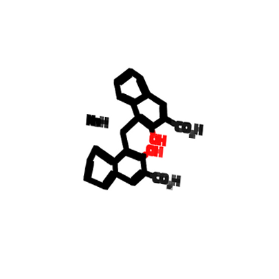 O=C(O)c1cc2ccccc2c(Cc2c(O)c(C(=O)O)cc3ccccc23)c1O.[NaH]